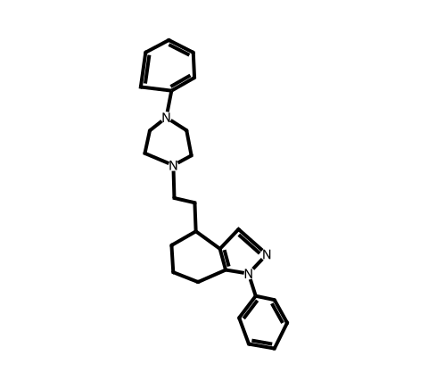 c1ccc(N2CCN(CCC3CCCc4c3cnn4-c3ccccc3)CC2)cc1